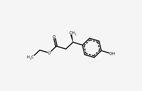 CCOC(=O)C[C@@H](C)c1ccc(O)cc1